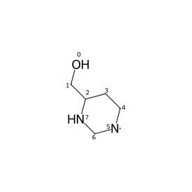 OCC1CC[N]CN1